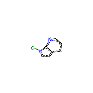 Cln1ccc2[c]ccnc21